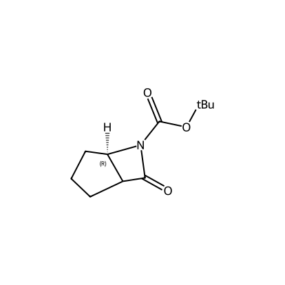 CC(C)(C)OC(=O)N1C(=O)C2CCC[C@H]21